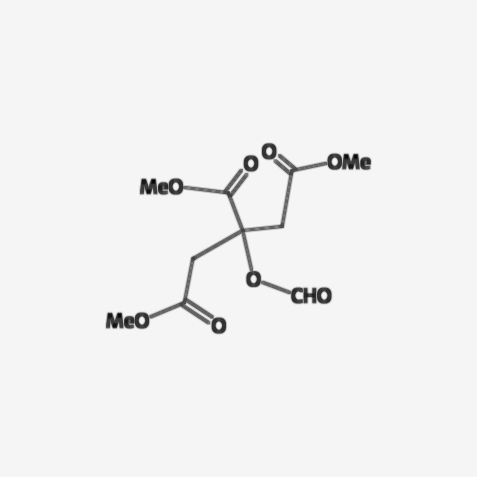 COC(=O)CC(CC(=O)OC)(OC=O)C(=O)OC